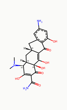 CN(C)[C@@H]1C(O)=C(C(N)=O)C(=O)[C@@]2(O)C(O)=C3C(=O)c4c(O)cc(N)cc4C[C@H]3C[C@@H]12